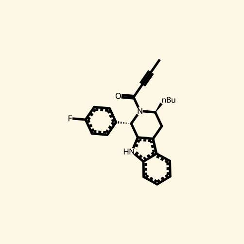 CC#CC(=O)N1[C@@H](CCCC)Cc2c([nH]c3ccccc23)[C@@H]1c1ccc(F)cc1